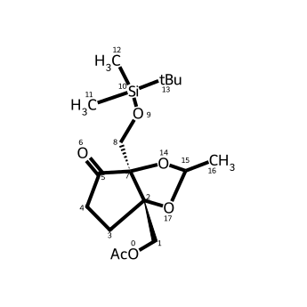 CC(=O)OC[C@@]12CCC(=O)[C@@]1(CO[Si](C)(C)C(C)(C)C)OC(C)O2